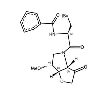 CO[C@@H]1CN(C(=O)[C@H](CC(C)(C)C)NC(=O)c2ccccc2)[C@@H]2C(=O)CO[C@@H]21